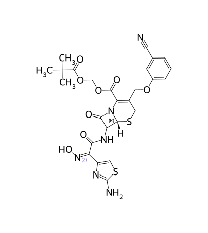 CC(C)(C)C(=O)OCOC(=O)C1=C(COc2cccc(C#N)c2)CS[C@@H]2C(NC(=O)/C(=N\O)c3csc(N)n3)C(=O)N12